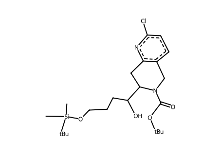 CC(C)(C)OC(=O)N1Cc2ccc(Cl)nc2CC1C(O)CCCO[Si](C)(C)C(C)(C)C